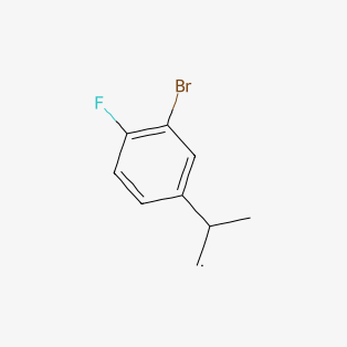 [CH2]C(C)c1ccc(F)c(Br)c1